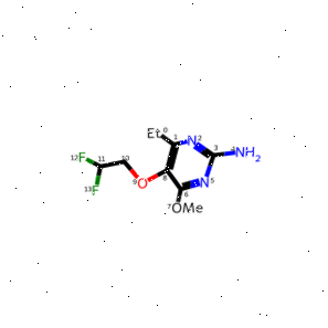 CCc1nc(N)nc(OC)c1OCC(F)F